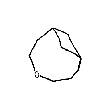 C1CC2CC(CCO1)C2